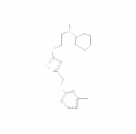 CN(CCOc1cc(COc2cccc(Cl)c2)on1)C1CCCCC1